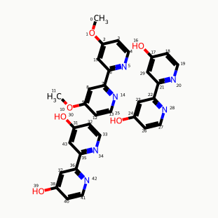 COc1ccnc(-c2cc(OC)ccn2)c1.Oc1ccnc(-c2cc(O)ccn2)c1.Oc1ccnc(-c2cc(O)ccn2)c1